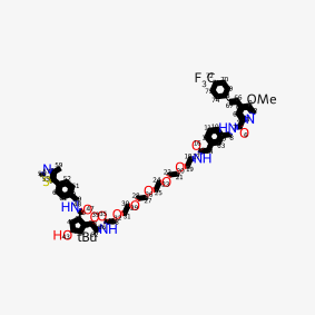 COc1cnc(C(=O)NCc2cccc(CC(=O)NCCOCCOCCOCCOCCOCC(=O)N[C@H](C(=O)C3C[C@H](O)C[C@H]3C(=O)NCc3ccc(-c4scnc4C)cc3)C(C)(C)C)c2)cc1/C=C/[C@H]1CC[C@H](C(F)(F)F)CC1